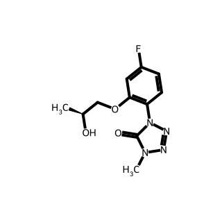 C[C@H](O)COc1cc(F)ccc1-n1nnn(C)c1=O